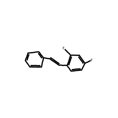 Fc1ccc(/C=C/c2ccccc2)c(F)c1